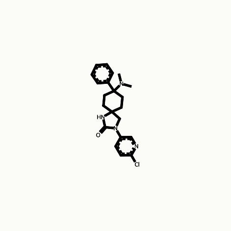 CN(C)C1(c2ccccc2)CCC2(CC1)CN(c1ccc(Cl)nc1)C(=O)N2